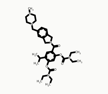 CCN(CC)C(=O)Oc1cc(OC(=O)N(CC)CC)c(C(C)C)cc1C(=O)N1Cc2ccc(CN3CCN(C)CC3)cc2C1